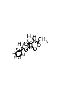 CC(=O)NC1C(=O)N(OCc2ccccc2)C1(C)C